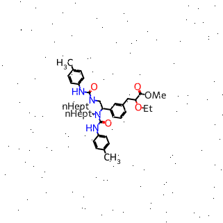 CCCCCCCN(CC(c1cccc(CC(OCC)C(=O)OC)c1)N(CCCCCCC)C(=O)Nc1ccc(C)cc1)C(=O)Nc1ccc(C)cc1